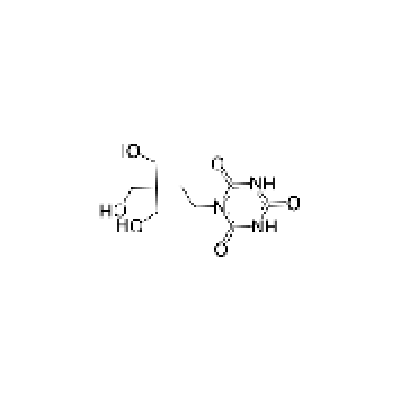 O=c1[nH]c(=O)n(CCC(CO)(CO)CO)c(=O)[nH]1